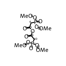 COOP(=O)(CC(=O)OC(=O)CP(=O)(OOC)OOC)OOC